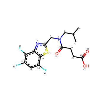 CC(C)CN(Cc1nc2c(F)c(F)cc(F)c2s1)C(=O)CCC(=O)O